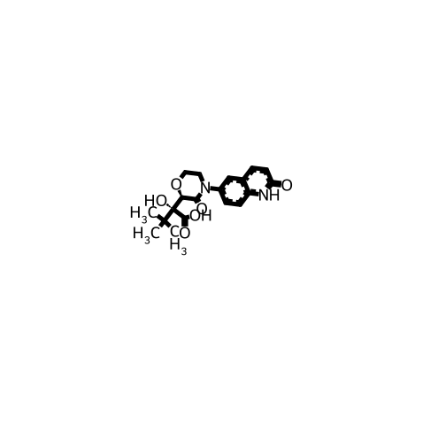 CC(C)(C)[C@](O)(C(=O)O)[C@H]1OCCN(c2ccc3[nH]c(=O)ccc3c2)C1=O